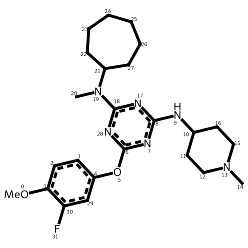 COc1ccc(Oc2nc(NC3CCN(C)CC3)nc(N(C)C3CCCCCC3)n2)cc1F